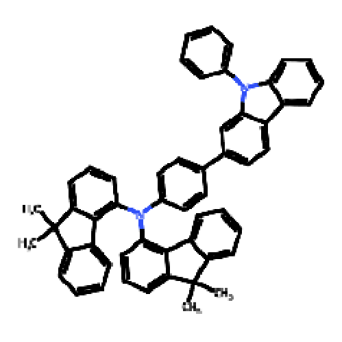 CC1(C)c2ccccc2-c2c(N(c3ccc(-c4ccc5c6ccccc6n(-c6ccccc6)c5c4)cc3)c3cccc4c3-c3ccccc3C4(C)C)cccc21